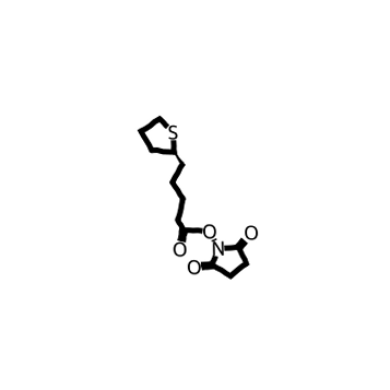 O=C(CCCC[C@H]1CCCS1)ON1C(=O)CCC1=O